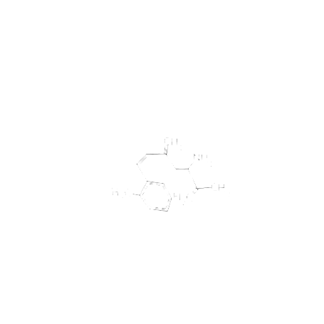 C=C(/C=C\c1ccccc1C)CC(N)C(=C)C